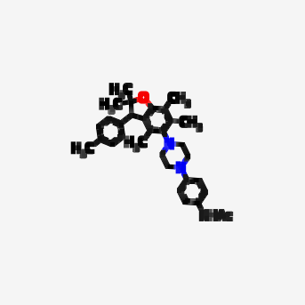 CC(=O)Nc1ccc(N2CCN(c3c(C)c(C)c4c(c3C)C(c3ccc(C)cc3)C(C)(C)O4)CC2)cc1